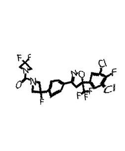 O=C(N1CC(F)(F)C1)N1CC(F)(c2ccc(C3=NOC(c4cc(Cl)c(F)c(Cl)c4)(C(F)(F)F)C3)cc2)C1